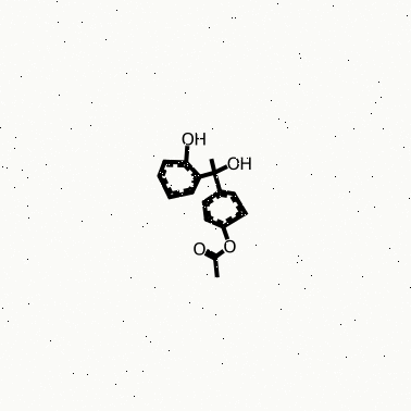 CC(=O)Oc1ccc(C(C)(O)c2ccccc2O)cc1